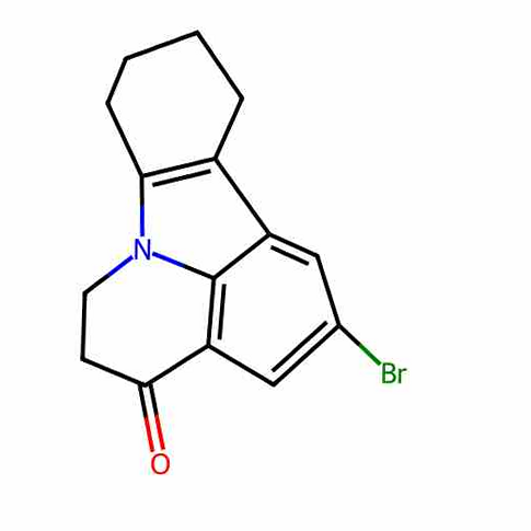 O=C1CCn2c3c(c4cc(Br)cc1c42)CCCC3